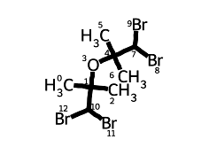 CC(C)(OC(C)(C)C(Br)Br)C(Br)Br